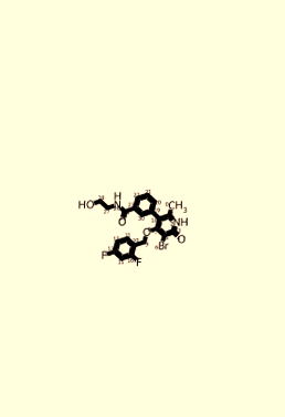 Cc1[nH]c(=O)c(Br)c(OCc2ccc(F)cc2F)c1-c1cccc(C(=O)NCCO)c1